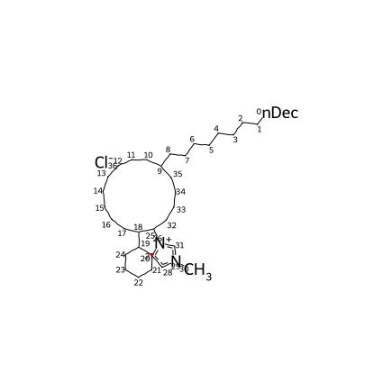 CCCCCCCCCCCCCCCCCCC1CCCCCCCCC(C2CCCCC2)C([n+]2ccn(C)c2)CCCC1.[Cl-]